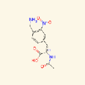 CC(=O)N/C(=C/c1ccc(CN)c([N+](=O)[O-])c1)C(=O)O